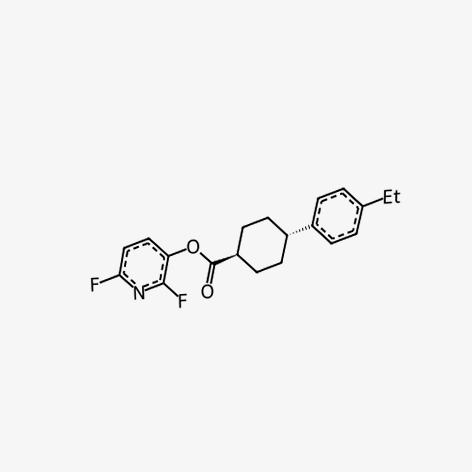 CCc1ccc([C@H]2CC[C@H](C(=O)Oc3ccc(F)nc3F)CC2)cc1